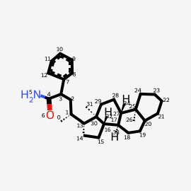 C[C@H](CC(C(N)=O)c1ccccc1)[C@H]1CC[C@H]2[C@@H]3CCC4CCCC[C@]4(C)[C@H]3CC[C@]12C